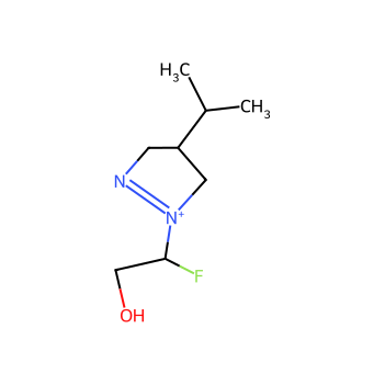 CC(C)C1CN=[N+](C(F)CO)C1